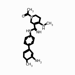 CNC1=C(C(=N)Nc2ccc(C3=CCC(C)C(N)=C3)cc2)CN(C(C)=O)CC1